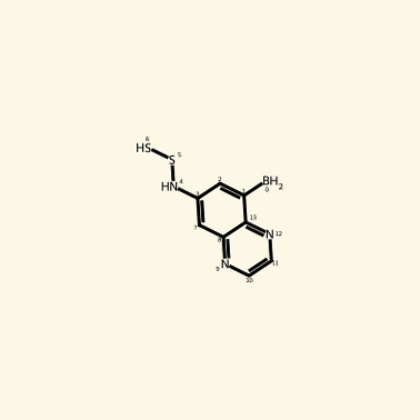 Bc1cc(NSS)cc2nccnc12